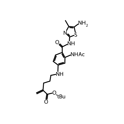 C=C(CCCNc1ccc(C(=O)Nc2nc(C)c(N)s2)c(NC(C)=O)c1)C(=O)OC(C)(C)C